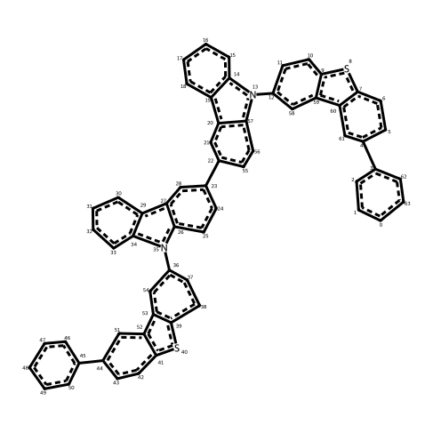 c1ccc(-c2ccc3sc4ccc(-n5c6ccccc6c6cc(-c7ccc8c(c7)c7ccccc7n8-c7ccc8sc9ccc(-c%10ccccc%10)cc9c8c7)ccc65)cc4c3c2)cc1